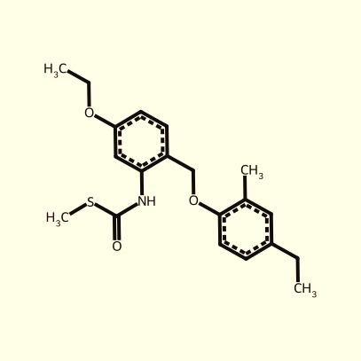 CCOc1ccc(COc2ccc(CC)cc2C)c(NC(=O)SC)c1